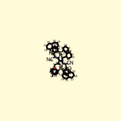 Cc1ccc(Cc2c3/c(=C(\C#N)C4=Nc5cccc6cccc(c56)O4)n(B(c4ccccc4)c4ccccc4)c(-c4ccccc4C)c3/c(=C(\C#N)C3=Nc4cccc5cccc(c45)O3)n2B(c2ccccc2)c2ccccc2)cc1